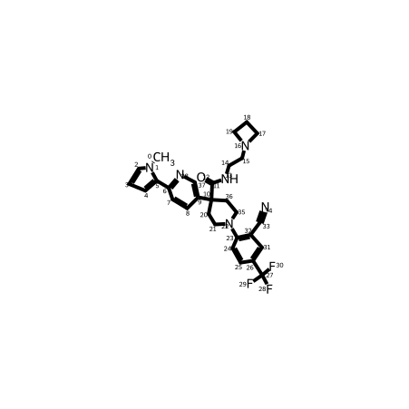 Cn1cccc1-c1ccc(C2(C(=O)NCCN3CCC3)CCN(c3ccc(C(F)(F)F)cc3C#N)CC2)cn1